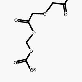 CC(C)(C)C(=O)COCC(=O)OCOC(=O)C(C)(C)C